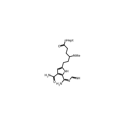 CCCCCCCC(=O)CCC(CCc1cc(C(N)=O)c(/C(N)=N\C=N)[nH]1)NC